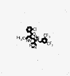 Cc1cc(C(=O)c2ccccc2Cl)c(-c2nnn(Cc3cc(C(F)(F)F)cc(C(F)(F)F)c3)c2-c2cncnc2)nn1